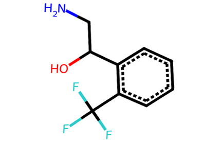 NCC(O)c1ccccc1C(F)(F)F